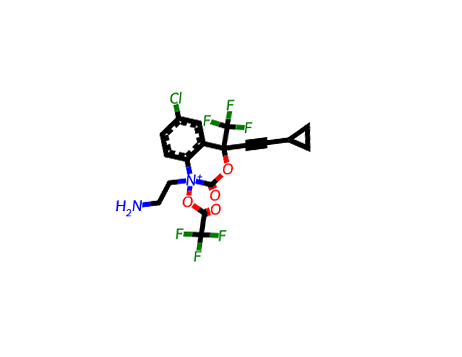 NCC[N+]1(OC(=O)C(F)(F)F)C(=O)OC(C#CC2CC2)(C(F)(F)F)c2cc(Cl)ccc21